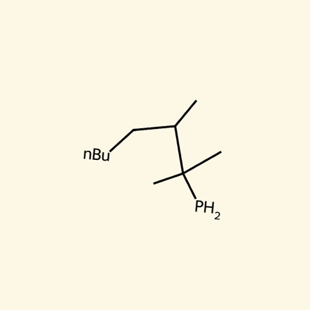 CCCCCC(C)C(C)(C)P